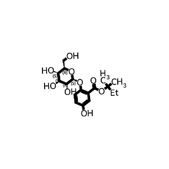 CCC(C)(C)OC(=O)c1cc(O)ccc1O[C@@H]1O[C@H](CO)[C@@H](O)[C@H](O)[C@H]1O